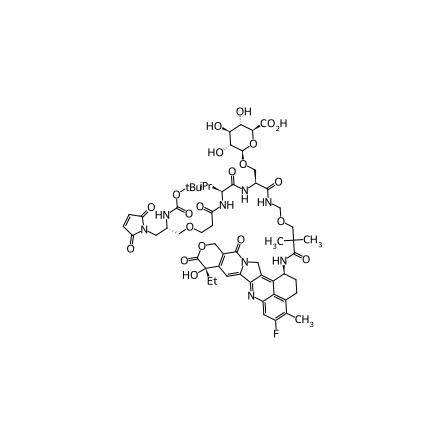 CC[C@@]1(O)C(=O)OCc2c1cc1n(c2=O)Cc2c-1nc1cc(F)c(C)c3c1c2[C@@H](NC(=O)C(C)(C)COCNC(=O)[C@H](CO[C@@H]1O[C@H](C(=O)O)[C@@H](O)[C@H](O)[C@H]1O)NC(=O)[C@@H](NC(=O)CCOC[C@H](CN1C(=O)C=CC1=O)NC(=O)OC(C)(C)C)C(C)C)CC3